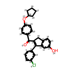 O=C(C1=C(c2cccc(Cl)c2)c2cc(O)ccc2C1)c1ccc(OC2CCCC2)cc1